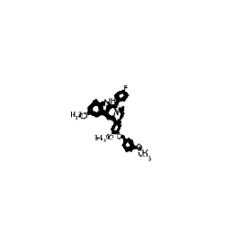 COc1cccc(COc2cc3c(cc2OC)C2Cc4c([nH]c5ccc(OC)cc45)C(c4ccc(F)cc4)N2CC3)c1